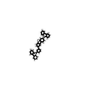 C1=Cc2c(n(-c3cccc(-c4ccc5oc6cc(-n7c8ccccc8c8ccccc87)ccc6c5c4)c3)c3ccccc23)CC1